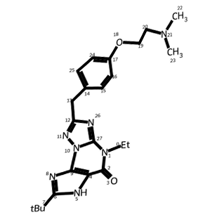 CCn1c(=O)c2[nH]c(C(C)(C)C)nc2n2nc(Cc3ccc(OCCN(C)C)cc3)nc12